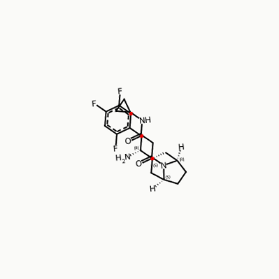 N[C@H](Cc1cc(F)c(F)cc1F)[C@@H]1C[C@H]2CC[C@@H](C1)N2C(=O)CC(=O)NC1CC1